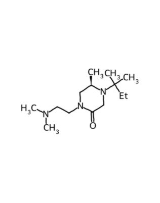 CCC(C)(C)N1CC(=O)N(CCN(C)C)C[C@H]1C